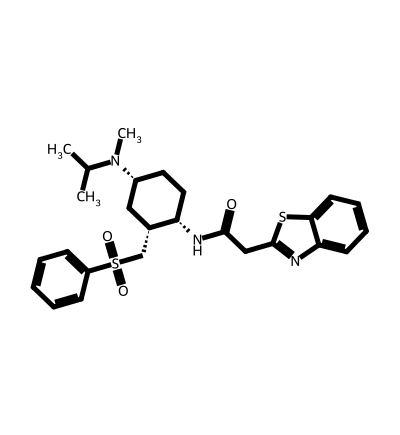 CC(C)N(C)[C@@H]1CC[C@H](NC(=O)Cc2nc3ccccc3s2)[C@H](CS(=O)(=O)c2ccccc2)C1